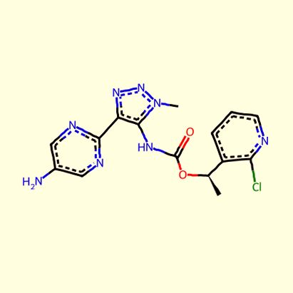 C[C@@H](OC(=O)Nc1c(-c2ncc(N)cn2)nnn1C)c1cccnc1Cl